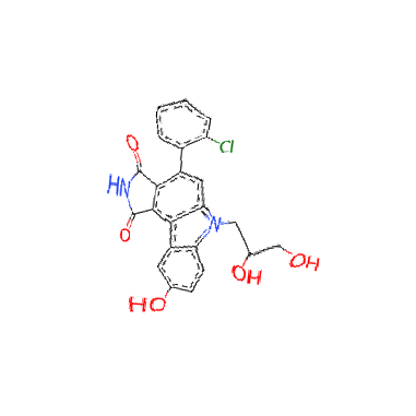 O=C1NC(=O)c2c1c(-c1ccccc1Cl)cc1c2c2cc(O)ccc2n1CC(O)CO